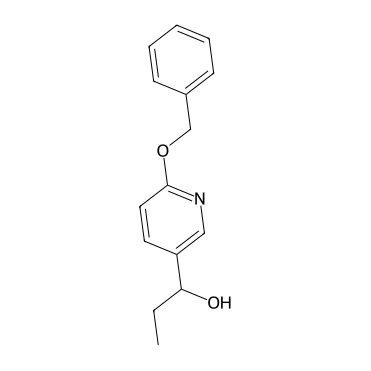 CCC(O)c1ccc(OCc2ccccc2)nc1